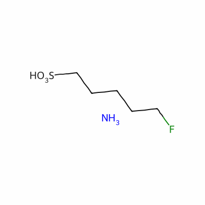 N.O=S(=O)(O)CCCCCF